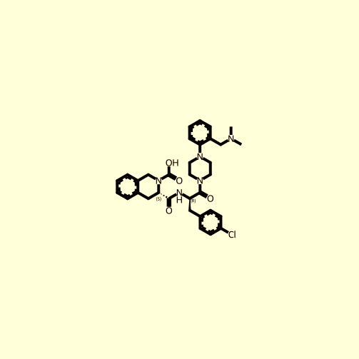 CN(C)Cc1ccccc1N1CCN(C(=O)[C@@H](Cc2ccc(Cl)cc2)NC(=O)[C@@H]2Cc3ccccc3CN2C(=O)O)CC1